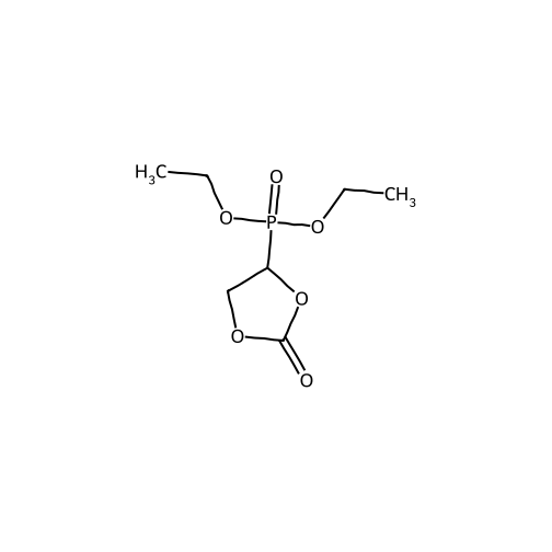 CCOP(=O)(OCC)C1COC(=O)O1